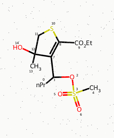 CCCC(OS(C)(=O)=O)C1=C(C(=O)OCC)SCC1(C)O